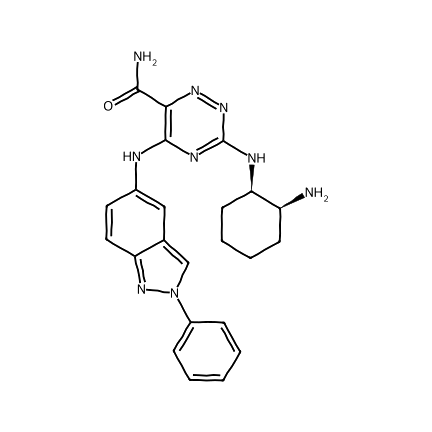 NC(=O)c1nnc(N[C@@H]2CCCC[C@@H]2N)nc1Nc1ccc2nn(-c3ccccc3)cc2c1